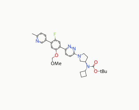 COCOc1cc(-c2ccc(C)nc2)c(F)cc1-c1ccc(N2CC[C@@H](N(C(=O)OC(C)(C)C)C3CCC3)C2)nn1